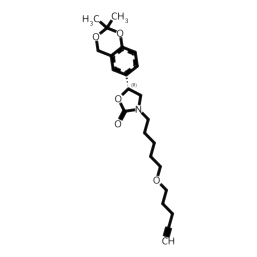 C#CCCCOCCCCCN1C[C@@H](c2ccc3c(c2)COC(C)(C)O3)OC1=O